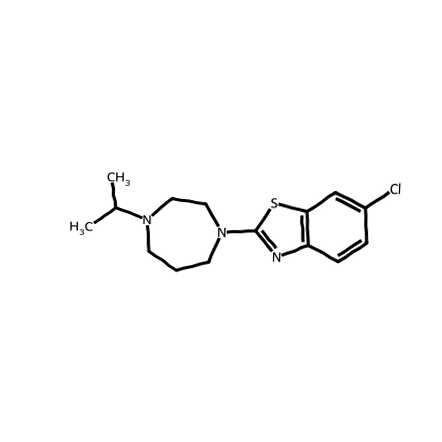 CC(C)N1CCCN(c2nc3ccc(Cl)cc3s2)CC1